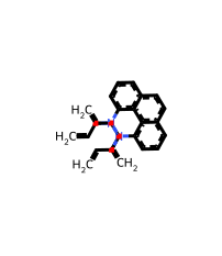 C=CCN(CC=C)c1cccc2ccc3cccc(N(CC=C)CC=C)c3c12